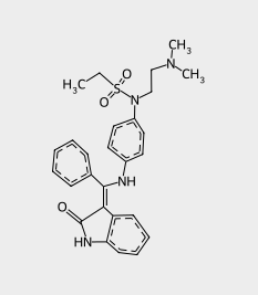 CCS(=O)(=O)N(CCN(C)C)c1ccc(NC(=C2C(=O)Nc3ccccc32)c2ccccc2)cc1